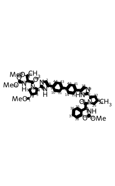 COC[C@H]1C[C@@H](c2ncc(-c3ccc(-c4ccc(-c5cnc([C@@H]6C[C@H](C)CN6C(=O)[C@H](NC(=O)OC)c6ccccc6)[nH]5)cc4)cc3)[nH]2)N(C(=O)[C@@H](NC(=O)OC)[C@@H](C)OC)C1